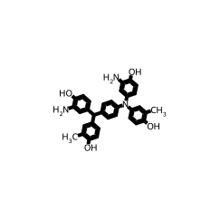 Cc1cc(C(c2ccc(N(c3ccc(O)c(C)c3)c3ccc(O)c(N)c3)cc2)c2ccc(O)c(N)c2)ccc1O